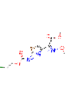 CO/N=C(\C(=O)OC)c1csc(NC(=O)OCCCl)n1